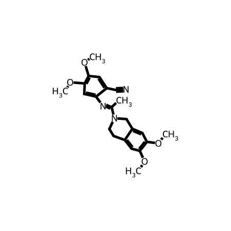 COc1cc(C#N)c(N=C(C)N2CCc3cc(OC)c(OC)cc3C2)cc1OC